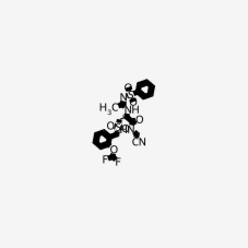 CC(=NS(=O)(=O)c1ccccc1)N[C@@H](CS(=O)(=O)Cc1ccccc1OC(F)F)C(=O)NCC#N